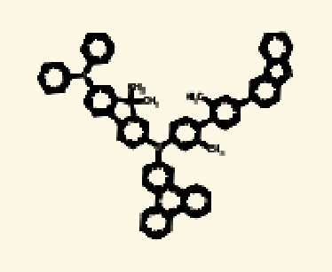 Cc1cc(-c2ccc3sc4ccccc4c3c2)ccc1-c1ccc(N(c2ccc3c(c2)C(C)(C)c2cc(N(c4ccccc4)c4ccccc4)ccc2-3)c2ccc3c4ccccc4c4ccccc4c3c2)cc1C